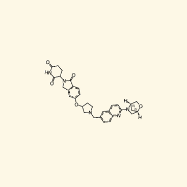 O=C1CCC(N2Cc3cc(OC4CCN(Cc5ccc6nc(N7C[C@@H]8C[C@H]7CO8)ccc6c5)C4)ccc3C2=O)C(=O)N1